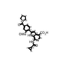 COc1cc(C(=O)N2CCCC2)ccc1-c1cc2c(C(=O)O)cnc(NC(=O)C3CC3)c2[nH]1